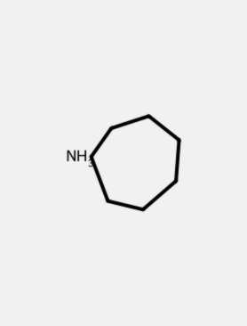 C1CCCCCC1.N